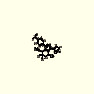 CC(C)c1ccc(-n2nc(-c3ccno3)c3c2C(C#N)C(C)(C)CC3=O)cc1